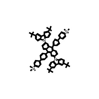 CC(C)(C)c1ccc2c(c1)c1cc(C(C)(C)C)ccc1n2-c1ccc2c(-c3ccc(-c4ccc([Si](C)(C)C)cc4)cc3)c3cc(-n4c5ccc(C(C)(C)C)cc5c5cc(C(C)(C)C)ccc54)ccc3c(-c3ccc(-c4ccc([Si](C)(C)C)cc4)cc3)c2c1